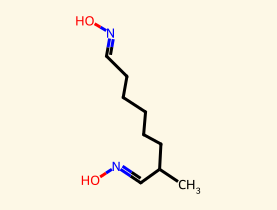 CC(C=NO)CCCCCC=NO